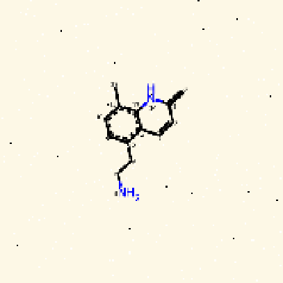 C=C1C=Cc2c(CCN)ccc(C)c2N1